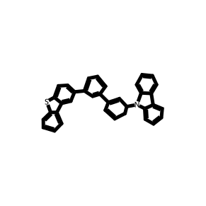 C1=CC(c2cccc(-c3ccc4sc5ccccc5c4c3)c2)=CC(n2c3ccccc3c3ccccc32)C1